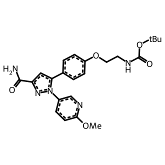 COc1ccc(-n2nc(C(N)=O)cc2-c2ccc(OCCNC(=O)OC(C)(C)C)cc2)cn1